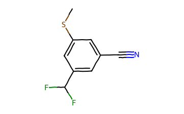 CSc1cc(C#N)cc(C(F)F)c1